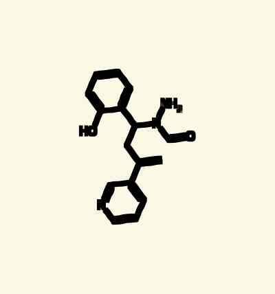 C=C(CC(c1ccccc1O)N(N)C=O)c1cccnc1